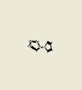 C1=C[SH](n2cnnn2)C=C1